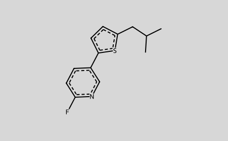 CC(C)Cc1ccc(-c2ccc(F)nc2)s1